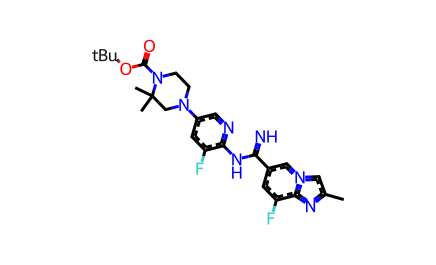 Cc1cn2cc(C(=N)Nc3ncc(N4CCN(C(=O)OC(C)(C)C)C(C)(C)C4)cc3F)cc(F)c2n1